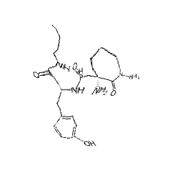 CCCNC(=O)C(Cc1ccc(O)cc1)N[PH](=O)[C@@]1(N)CCCN(N)C1=O